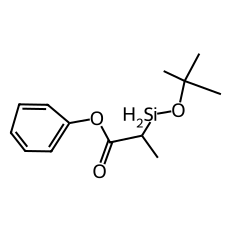 CC([SiH2]OC(C)(C)C)C(=O)Oc1ccccc1